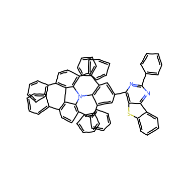 c1ccc(-c2nc(-c3cc(-c4ccccc4)c(-n4c5c(-c6ccccc6)ccc(-c6ccccc6)c5c5c(-c6ccccc6)ccc(-c6ccccc6)c54)c(-c4ccccc4)c3)c3sc4ccccc4c3n2)cc1